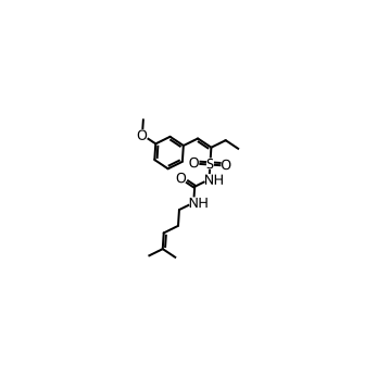 CCC(=Cc1cccc(OC)c1)S(=O)(=O)NC(=O)NCCC=C(C)C